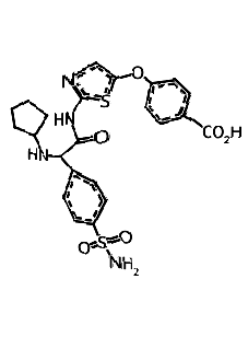 NS(=O)(=O)c1ccc(C(NC2CCCC2)C(=O)Nc2ncc(Oc3ccc(C(=O)O)cc3)s2)cc1